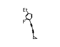 CCc1ccc(C#CC#CC2CC2)c(F)c1